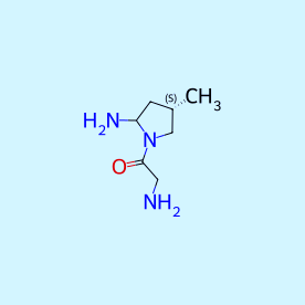 C[C@H]1CC(N)N(C(=O)CN)C1